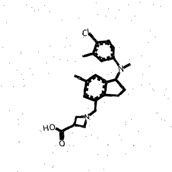 Cc1cc(CN2CC(C(=O)O)C2)c2c(c1)C(N(C)c1ccc(Cl)c(C)c1)CC2